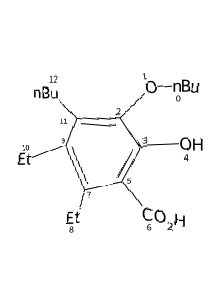 CCCCOc1c(O)c(C(=O)O)c(CC)c(CC)c1CCCC